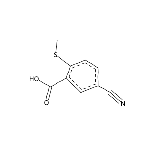 CSc1ccc(C#N)cc1C(=O)O